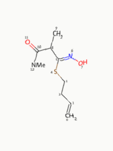 C=CCCSC(=NO)C(C)C(=O)NC